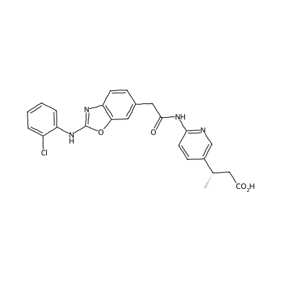 C[C@@H](CC(=O)O)c1ccc(NC(=O)Cc2ccc3nc(Nc4ccccc4Cl)oc3c2)nc1